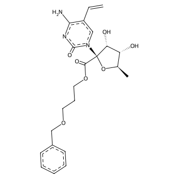 C=Cc1cn([C@]2(C(=O)OCCCOCc3ccccc3)O[C@H](C)[C@@H](O)[C@H]2O)c(=O)nc1N